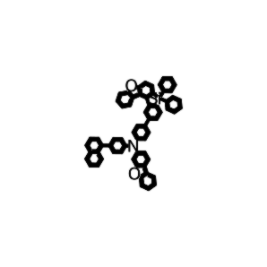 c1ccc([Si]2(c3ccccc3)c3ccc(-c4ccc(N(c5ccc(-c6cccc7ccccc67)cc5)c5ccc6c(c5)oc5ccccc56)cc4)cc3-c3c2ccc2oc4ccccc4c32)cc1